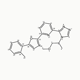 COCC(C)n1cnnc1-c1cccc(-c2ncc(-c3ccccc3C)o2)n1